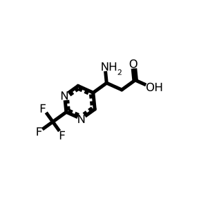 NC(CC(=O)O)c1cnc(C(F)(F)F)nc1